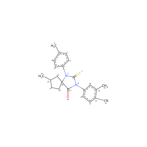 Cc1ccc(N2C(=S)N(c3ccc(C#N)c(C)c3)C(=O)C23CCC(C)C3)cc1